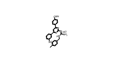 COc1ccc(-c2cc(-c3cccc([N+](=O)[O-])c3)nc(N=C(N)NCc3ccc(C)cc3)n2)cc1.Cl